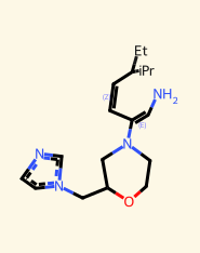 CCC(/C=C\C(=C/N)N1CCOC(Cn2ccnc2)C1)C(C)C